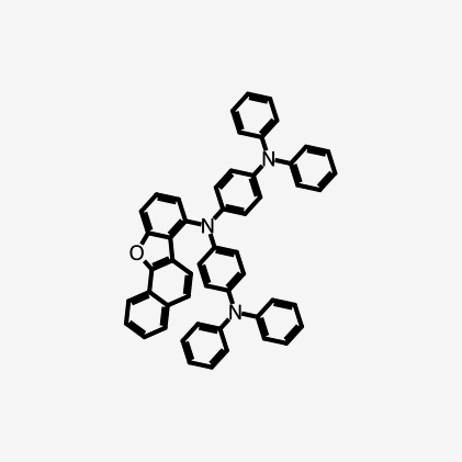 c1ccc(N(c2ccccc2)c2ccc(N(c3ccc(N(c4ccccc4)c4ccccc4)cc3)c3cccc4oc5c6ccccc6ccc5c34)cc2)cc1